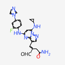 NC(=O)C/C(C=O)=C\c1cnn2c(NC3CC3)cc(Nc3ccc(-n4ccnc4)cc3F)nc12